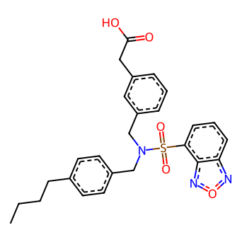 CCCCc1ccc(CN(Cc2cccc(CC(=O)O)c2)S(=O)(=O)c2cccc3nonc23)cc1